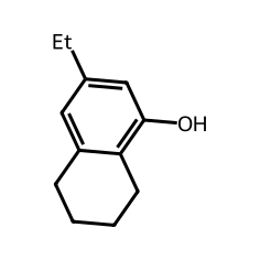 CCc1cc(O)c2c(c1)CCCC2